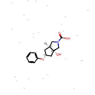 O=C(O)N1C[C@@H]2C[C@@H](Oc3ccccc3)C[C@]2(O)C1